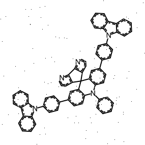 c1ccc(N2c3ccc(-c4ccc(-n5c6ccccc6c6ccccc65)cc4)cc3C3(c4cc(-c5ccc(-n6c7ccccc7c7ccccc76)cc5)ccc42)c2cccnc2-c2ncccc23)cc1